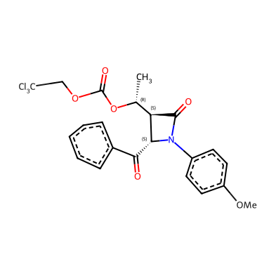 COc1ccc(N2C(=O)[C@H]([C@@H](C)OC(=O)OCC(Cl)(Cl)Cl)[C@H]2C(=O)c2ccccc2)cc1